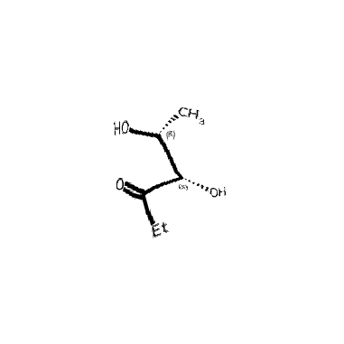 CCC(=O)[C@@H](O)[C@@H](C)O